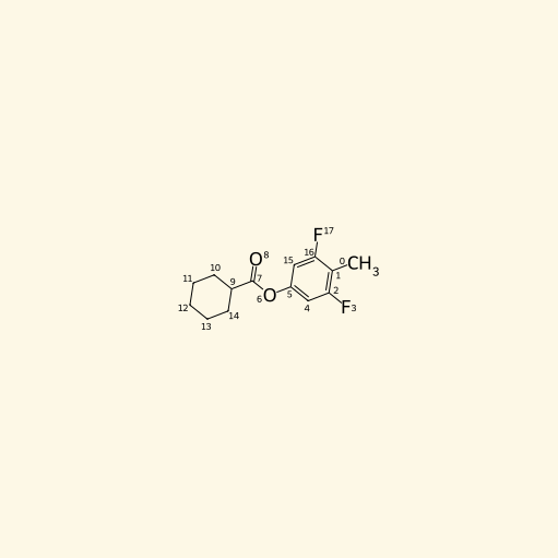 Cc1c(F)cc(OC(=O)C2CCCCC2)cc1F